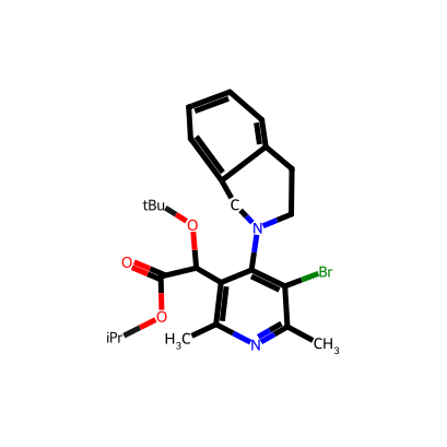 Cc1nc(C)c(C(OC(C)(C)C)C(=O)OC(C)C)c(N2CCc3ccccc3C2)c1Br